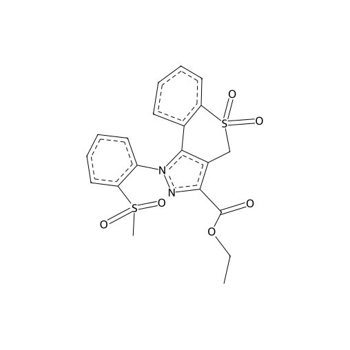 CCOC(=O)c1nn(-c2ccccc2S(C)(=O)=O)c2c1CS(=O)(=O)c1ccccc1-2